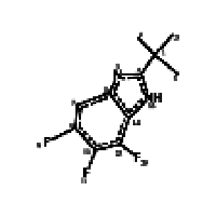 CC(C)(C)c1nc2cc(F)c(F)c(F)c2[nH]1